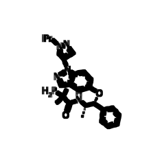 CC(C)n1cc(-n2ncc3cc(O[C@H](c4ccccc4)[C@H](C)NC(=O)C(C)(C)P)ccc32)cn1